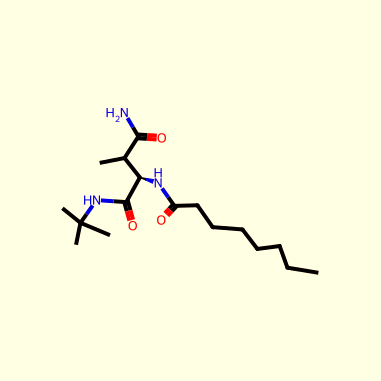 CCCCCCCC(=O)N[C@@H](C(=O)NC(C)(C)C)C(C)C(N)=O